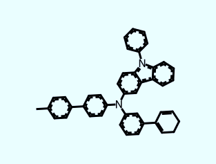 Cc1ccc(-c2ccc(N(c3cccc(C4=CCCC=C4)c3)c3ccc4c(c3)c3ccccc3n4-c3ccccc3)cc2)cc1